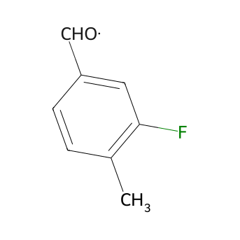 Cc1ccc([C]=O)cc1F